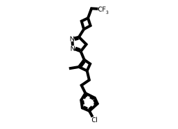 CC1=C(C2=NN=C(C3CC(CC(F)(F)F)C3)C2)CC1CCc1ccc(Cl)cc1